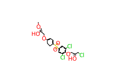 COC[C@@H](O)COC1=CC=C(S(=O)(=O)c2cc(Cl)c(OC[C@H](O)CCl)c(Cl)c2)CC1